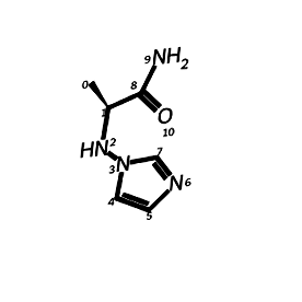 C[C@H](Nn1ccnc1)C(N)=O